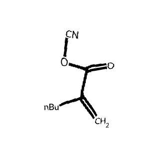 C=C(CCCC)C(=O)OC#N